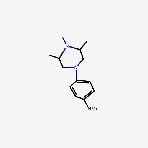 CNc1ccc(N2CC(C)N(C)C(C)C2)cc1